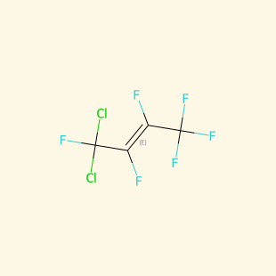 F/C(=C(/F)C(F)(Cl)Cl)C(F)(F)F